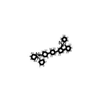 c1ccc(-n2c(-c3ccc(-c4ccc(-c5ccc6c7ccccc7n7c8ccccc8nc7c6c5)cc4)cc3)nc3ccccc32)cc1